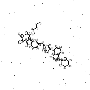 CCCCOC(=O)n1c(C(=O)OC)cc2ccc(Cn3cc(-c4cccc5c4cnn5C4CCCCO4)nn3)cc21